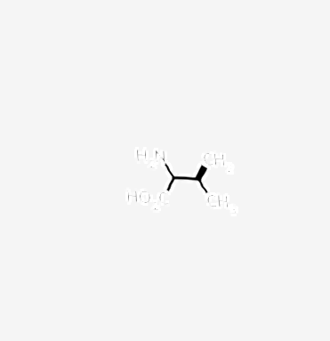 C=C(C)C(N)C(=O)O